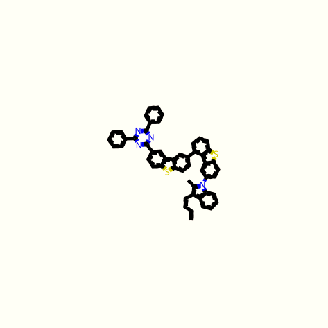 C=C/C=C\c1c(C)n(-c2ccc3sc4cccc(-c5ccc6sc7ccc(-c8nc(-c9ccccc9)nc(-c9ccccc9)n8)cc7c6c5)c4c3c2)c2ccccc12